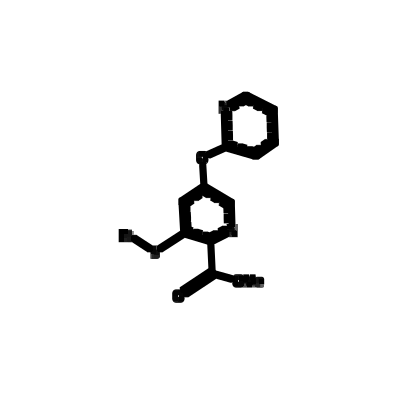 CCSc1cc(Oc2ccccn2)cnc1C(=O)OC